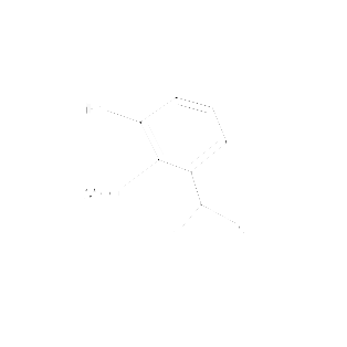 COc1c(C(C)C)cccc1C(C)C(F)(F)F